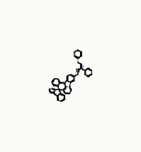 C1=CC(C/C=C(\N=C\c2ccc3c(c2)c2cccc4c2n3-c2ccccc2C42c3ccccc3-c3ccccc32)c2ccccc2)=CCC1